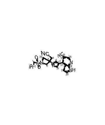 CC(C)CS(=O)(=O)N1CC(CC#N)(n2cc(-c3c(C#N)cnc4[nH]ccc34)cn2)C1